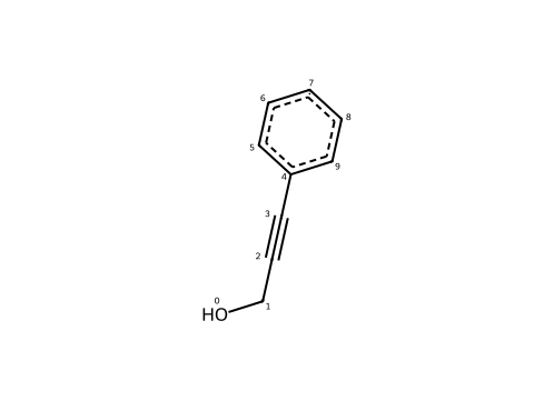 OCC#Cc1cc[c]cc1